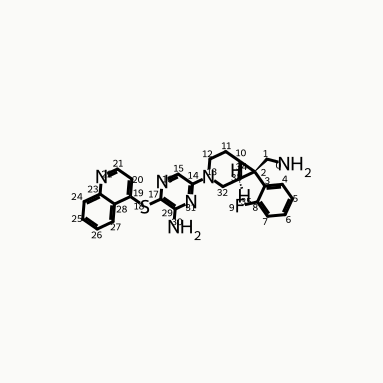 NC[C@]1(c2ccccc2F)[C@@H]2CCN(c3cnc(Sc4ccnc5ccccc45)c(N)n3)C[C@@H]21